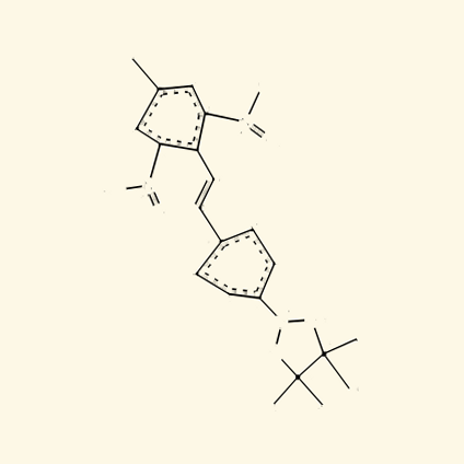 Cc1cc([N+](=O)[O-])c(/C=C/c2ccc(B3OC(C)(C)C(C)(C)O3)cc2)c([N+](=O)[O-])c1